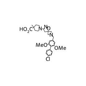 COc1cc(CN2CC3(CC(N4CCC(C)(C(=O)O)CC4)=NO3)C2)cc(OC)c1-c1ccc(Cl)cc1